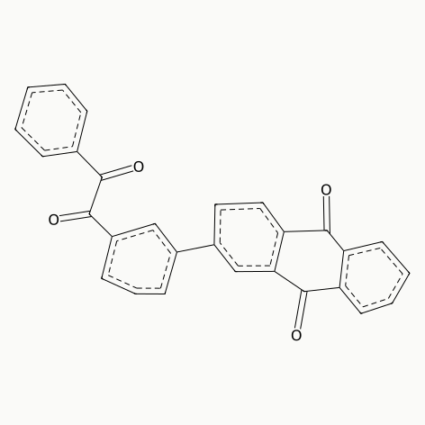 O=C(C(=O)c1cccc(-c2ccc3c(c2)C(=O)c2ccccc2C3=O)c1)c1ccccc1